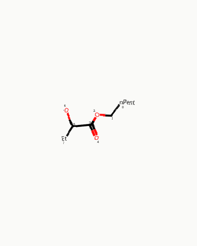 CCCCCCOC(=O)C([O])CC